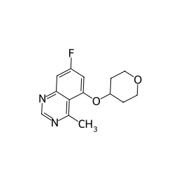 Cc1ncnc2cc(F)cc(OC3CCOCC3)c12